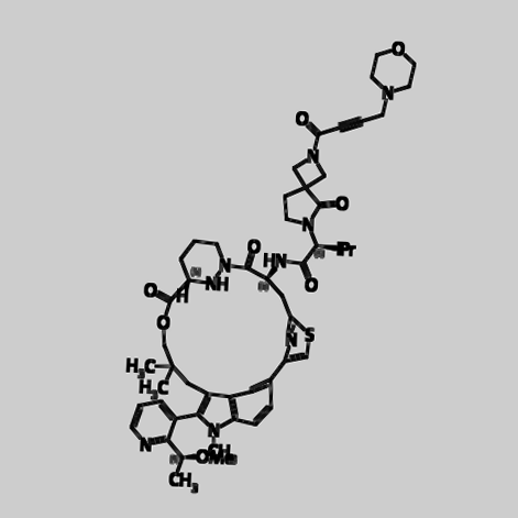 CO[C@@H](C)c1ncccc1-c1c2c3cc(ccc3n1C)-c1csc(n1)C[C@H](NC(=O)[C@H](C(C)C)N1CCC3(CN(C(=O)C#CCN4CCOCC4)C3)C1=O)C(=O)N1CCC[C@H](N1)C(=O)OCC(C)(C)C2